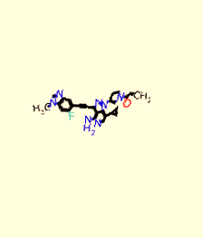 C=CC(=O)N1CC[C@H](n2nc(C#Cc3cc4ncn(C)c4cc3F)c3c(N)ncc(C4CC4)c32)C1